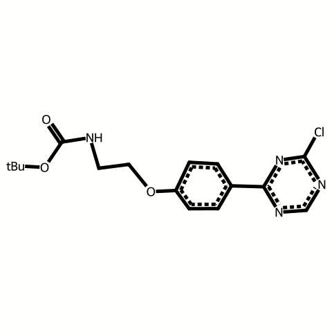 CC(C)(C)OC(=O)NCCOc1ccc(-c2ncnc(Cl)n2)cc1